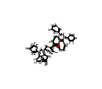 c1ccc(N(CN(c2ccccc2)c2ccc(-c3csc(N(CN(c4cccs4)c4cccs4)c4cccs4)c3)cc2)c2ccccc2)cc1